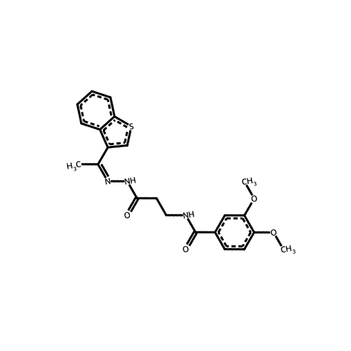 COc1ccc(C(=O)NCCC(=O)N/N=C(/C)c2csc3ccccc23)cc1OC